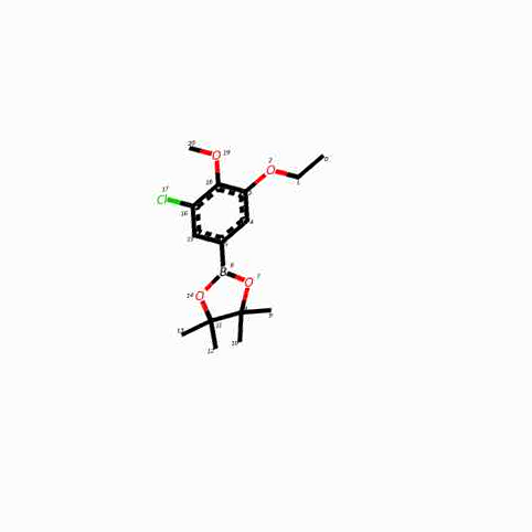 CCOc1cc(B2OC(C)(C)C(C)(C)O2)cc(Cl)c1OC